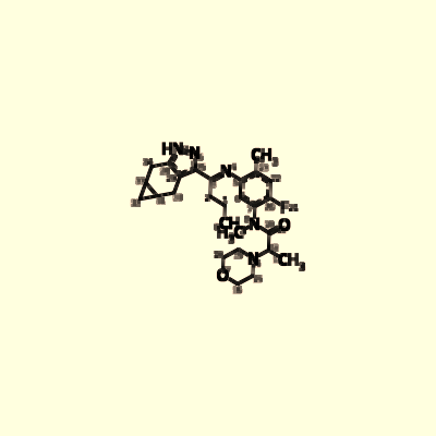 CCC/C(=N\c1cc(N(C)C(=O)C(C)N2CCOCC2)c(F)cc1C)c1n[nH]c2c1CC1CC1C2